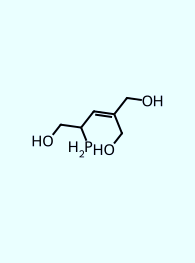 OCC(=CC(P)CO)CO